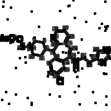 COOSN1CCC(C2c3ccc(Cl)cc3C(NCCc3c[nH]cn3)=Cc3cccnc32)CC1